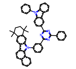 CC1(C)CCC(C)(C)c2cc3c(cc21)c1ccc2ccccc2c1n3-c1cccc(-c2nc(-c3ccccc3)nc(-c3ccc4c(c3)c3ccccc3n4-c3ccccc3)n2)c1